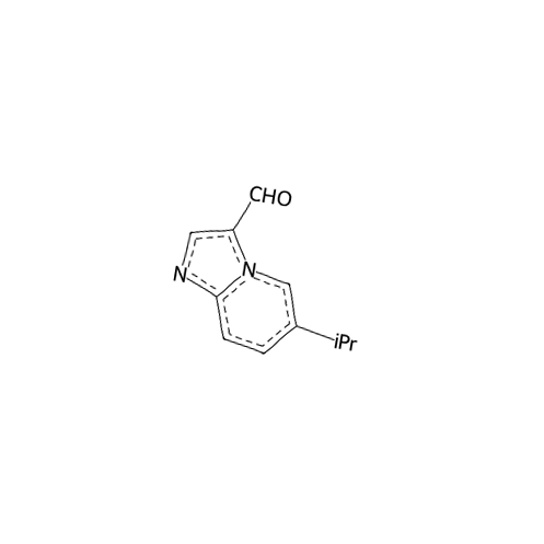 CC(C)c1ccc2ncc(C=O)n2c1